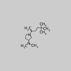 C=C(CCC(C)(C)C)N1CCC(N(C)C)C1